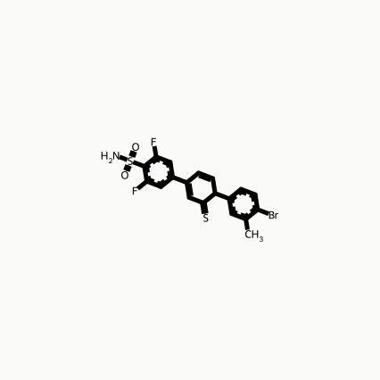 Cc1cc(C2C=CC(c3cc(F)c(S(N)(=O)=O)c(F)c3)=CC2=S)ccc1Br